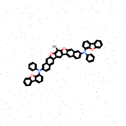 N#Cc1c2oc3cc4cc(N(c5ccccc5)c5cccc6c5oc5ccccc56)ccc4cc3c2cc2c1oc1cc3cc(N(c4ccccc4)c4cccc5c4oc4ccccc45)ccc3cc12